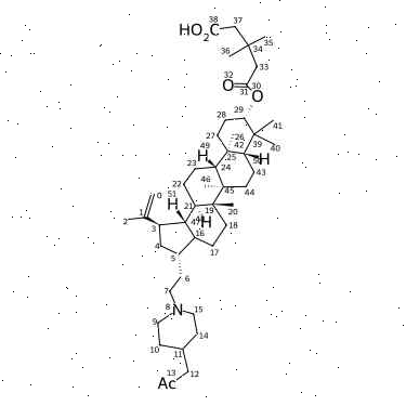 C=C(C)[C@@H]1C[C@@H](CCN2CCC(CC(C)=O)CC2)C2CC[C@]3(C)[C@H](CC[C@@H]4[C@@]5(C)CC[C@H](OC(=O)CC(C)(C)CC(=O)O)C(C)(C)[C@@H]5CC[C@]43C)[C@H]21